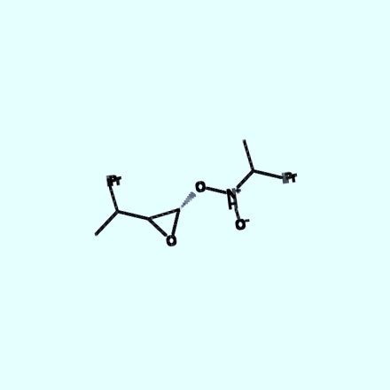 CC(C)C(C)C1O[C@H]1O[NH+]([O-])C(C)C(C)C